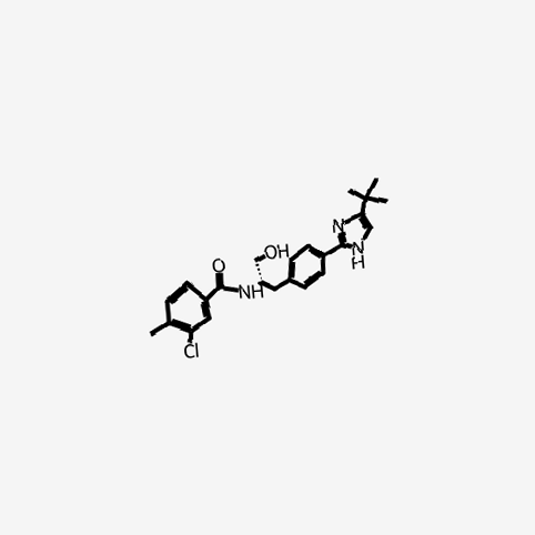 Cc1ccc(C(=O)N[C@H](CO)Cc2ccc(-c3nc(C(C)(C)C)c[nH]3)cc2)cc1Cl